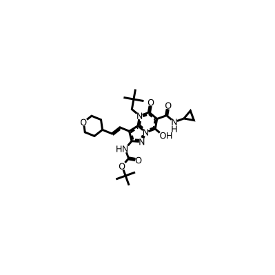 CC(C)(C)Cn1c(=O)c(C(=O)NC2CC2)c(O)n2nc(NC(=O)OC(C)(C)C)c(/C=C/C3CCOCC3)c12